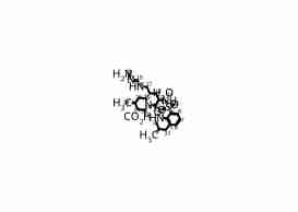 CC1CNc2c(cccc2S(=O)(=O)NC(CCCNC=NN)C(=O)N2CCC(C)CC2C(=O)O)C1.O